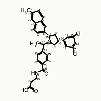 Cc1ccc2cc([C@H]3C[C@H](c4cc(Cl)cc(Cl)c4)CN3C(C)c3ccc(C(=O)NCCC(=O)O)cc3)ccc2c1